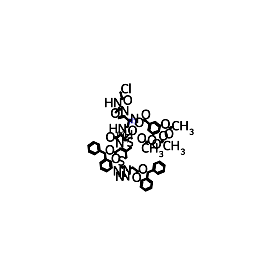 CC(=O)Oc1cc(C(=O)O/N=C(\C(=O)N[C@@H]2C(=O)N3C(C(=O)OC(c4ccccc4)c4ccccc4)=C(CSc4nnnn4CC(=O)OC(c4ccccc4)c4ccccc4)CS[C@@H]23)c2coc(NC(=O)CCl)n2)cc(OC(C)=O)c1OC(C)=O